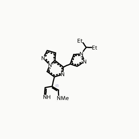 CCC(CC)n1cc(-c2nc(/C(C=N)=C/NC)cn3nccc23)cn1